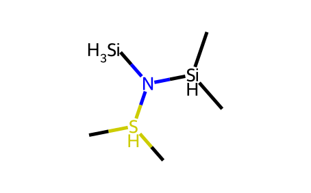 C[SiH](C)N([SiH3])[SH](C)C